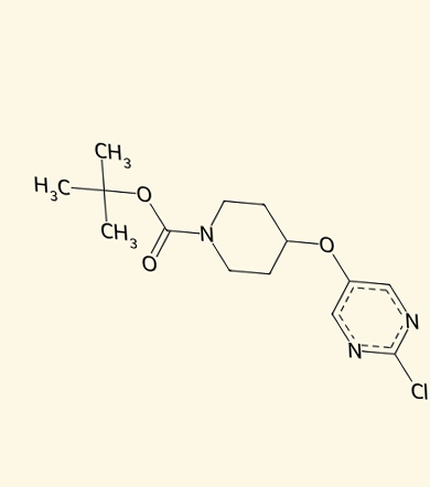 CC(C)(C)OC(=O)N1CCC(Oc2cnc(Cl)nc2)CC1